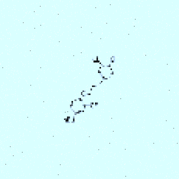 CCCCc1ccc(OCCCc2ccc(Cl)c(Cl)c2)c(C(F)(F)F)c1